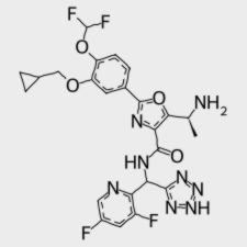 C[C@H](N)c1oc(-c2ccc(OC(F)F)c(OCC3CC3)c2)nc1C(=O)NC(c1nn[nH]n1)c1ncc(F)cc1F